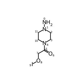 NN1CCN(C(=O)COI)CC1